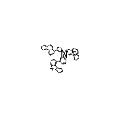 CC1(C)c2ccccc2-c2c(-c3cccc(N(c4cccc(-c5cccc6c5ccc5ccccc56)c4)c4ccc5oc6ccccc6c5c4)c3)cccc21